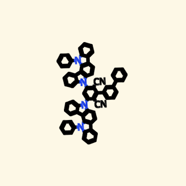 N#Cc1c(-n2c3ccccc3c3c2ccc2c4ccccc4n(-c4ccccc4)c23)cc(-n2c3ccccc3c3c2ccc2c4ccccc4n(-c4ccccc4)c23)c(C#N)c1-c1cccc(-c2ccccc2)c1